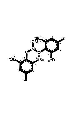 C[O][Al]([O]c1c(C(C)(C)C)cc(C)cc1C(C)(C)C)[O]c1c(C(C)(C)C)cc(C)cc1C(C)(C)C